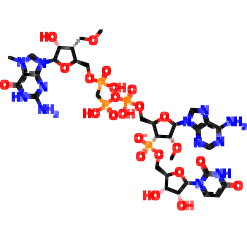 COC[C@H]1[C@@H](O)[C@H](n2c[n+](C)c3c(=O)[nH]c(N)nc32)O[C@@H]1COP(=O)(O)CP(=O)(O)OP(=O)(O)OC[C@H]1O[C@@H](n2cnc3c(N)ncnc32)[C@H](OC)[C@@H]1P(=O)([O-])OC[C@H]1O[C@@H](n2ccc(=O)[nH]c2=O)[C@H](O)[C@@H]1O